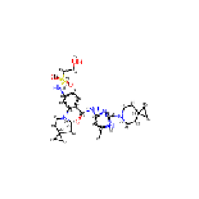 Cc1cc(NC(=O)c2ccc(NS(=O)(=O)CCO)cc2N2CCC3(CC2)CC3)nc(N2CCC3(CC2)CC3)n1